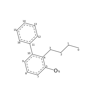 CCCCc1c([O])cccc1-c1ccccc1